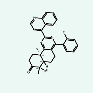 CCC[C@@]1(C)C(=O)CC[C@@]2(C)c3nc(-c4ccnc5ccccc45)nc(-c4ccccc4F)c3CC[C@H]12